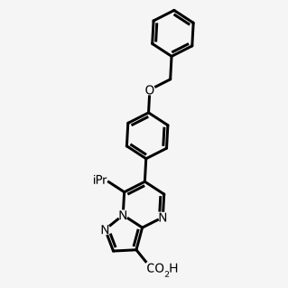 CC(C)c1c(-c2ccc(OCc3ccccc3)cc2)cnc2c(C(=O)O)cnn12